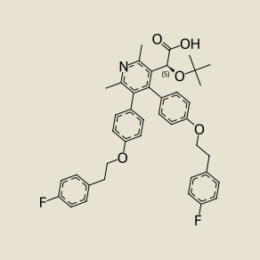 Cc1nc(C)c([C@H](OC(C)(C)C)C(=O)O)c(-c2ccc(OCCc3ccc(F)cc3)cc2)c1-c1ccc(OCCc2ccc(F)cc2)cc1